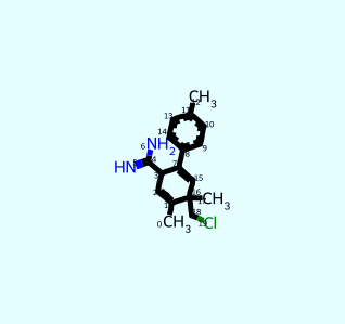 CC1=CC(C(=N)N)C(c2ccc(C)cc2)=CC1(C)CCl